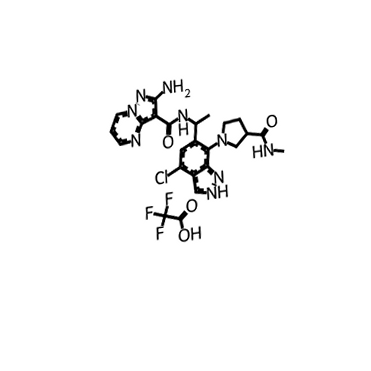 CNC(=O)C1CCN(c2c(C(C)NC(=O)c3c(N)nn4cccnc34)cc(Cl)c3c[nH]nc23)C1.O=C(O)C(F)(F)F